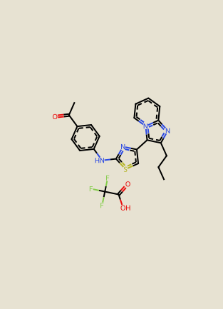 CCCc1nc2ccccn2c1-c1csc(Nc2ccc(C(C)=O)cc2)n1.O=C(O)C(F)(F)F